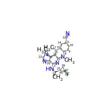 C=C(Nc1nc(N(C)c2ccc(C#N)cc2CC)cc2c1ncn2C)[C@H]1C[C@H]1F